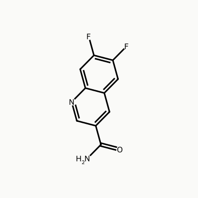 NC(=O)c1cnc2cc(F)c(F)cc2c1